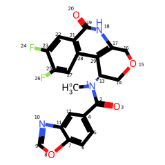 CN(C(=O)c1ccc2ocnc2c1)[C@H]1COCc2[nH]c(=O)c3cc(F)c(F)cc3c21